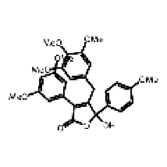 COc1ccc(C2(O)OC(=O)C(c3cc(OC)cc(OC)c3)=C2Cc2cc(OC)c(OC)c(OC)c2)cc1